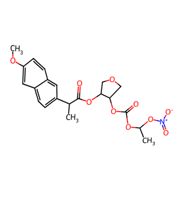 COc1ccc2cc(C(C)C(=O)OC3COCC3OC(=O)OC(C)O[N+](=O)[O-])ccc2c1